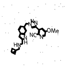 COc1cnc(C#N)c(-c2cn(Cc3ccc4cc(CNCC56CC(C5)C6)[nH]c4c3)nn2)c1